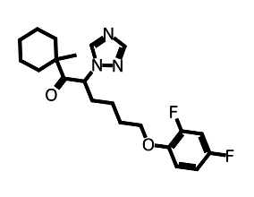 CC1(C(=O)C(CCCCOc2ccc(F)cc2F)n2cncn2)CCCCC1